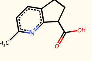 Cc1ccc2c(n1)C(C(=O)O)CC2